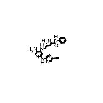 C#Cc1cnc(Nc2cc(NCCCC(N)C(=O)Nc3ccccc3)c(N)cn2)cn1